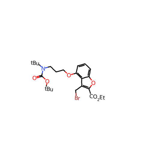 CCOC(=O)c1oc2cccc(OCCCN(C(=O)OC(C)(C)C)C(C)(C)C)c2c1CBr